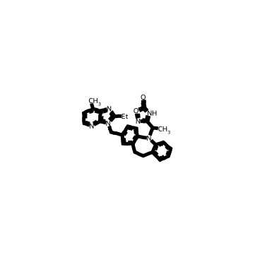 CCc1nc2c(C)ccnc2n1Cc1ccc2c(c1)CCc1ccccc1N2C(C)c1noc(=O)[nH]1